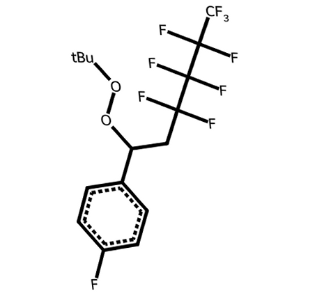 CC(C)(C)OOC(CC(F)(F)C(F)(F)C(F)(F)C(F)(F)F)c1ccc(F)cc1